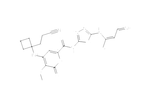 COc1c(NC2(CCC#N)CCC2)cc(C(=O)Nc2nnc(N/C(C)=C\C=N)s2)oc1=O